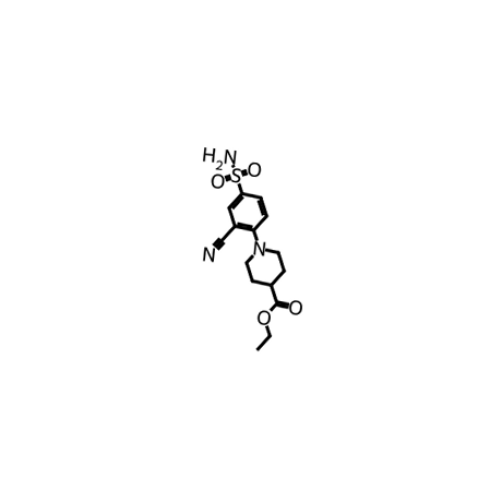 CCOC(=O)C1CCN(c2ccc(S(N)(=O)=O)cc2C#N)CC1